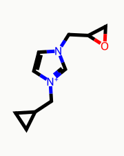 c1c[n+](CC2CC2)cn1CC1CO1